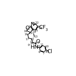 C[C@@H](C(=O)Nc1ccc(Cl)cc1)[C@H]1CC[C@]2(CC1)COc1ncc(C(F)(F)F)cc12